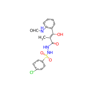 C/C(C(=O)NNS(=O)(=O)c1ccc(Cl)cc1)=C(/O)c1ccccc1NC=O